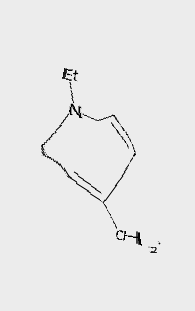 [CH2]C1=CCN(CC)C=C1